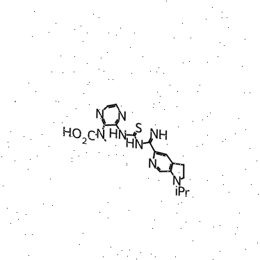 CC(C)N1CCc2cc(C(=N)NC(=S)Nc3nccnc3N(C)C(=O)O)ncc21